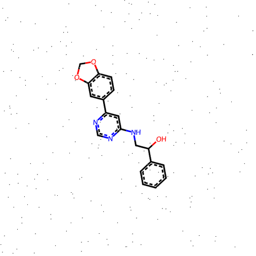 OC(CNc1cc(-c2ccc3c(c2)OCO3)ncn1)c1ccccc1